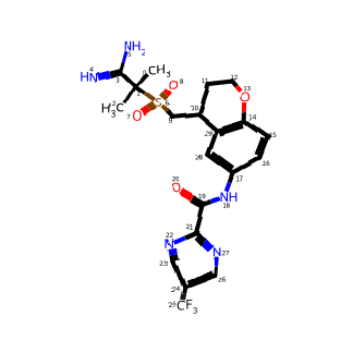 CC(C)(C(=N)N)S(=O)(=O)CC1CCOc2ccc(NC(=O)c3ncc(C(F)(F)F)cn3)cc21